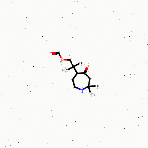 CC1(C)CC(=O)C(C(C)(C)COC=O)CCN1